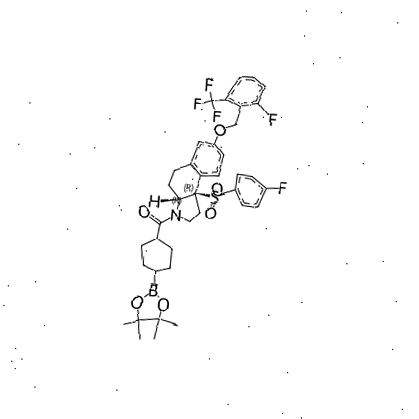 CC1(C)OB(C2CCC(C(=O)N3CC[C@@]4(S(=O)(=O)c5ccc(F)cc5)c5ccc(OCc6c(F)cccc6C(F)(F)F)cc5CC[C@@H]34)CC2)OC1(C)C